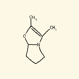 CC1=C(C)N2CCCC2O1